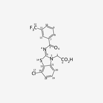 O=C(O)Cn1c(=NC(=O)c2cccc(C(F)(F)F)c2)sc2c(Cl)cccc21